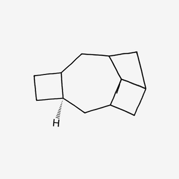 CC12C3CC4CC[C@@H]4CC1CC2C3